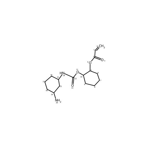 C=CC(=O)OC1CCCCC1OC(=O)NC1CCCC(N)C1